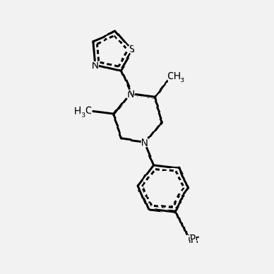 CC(C)c1ccc(N2CC(C)N(c3nccs3)C(C)C2)cc1